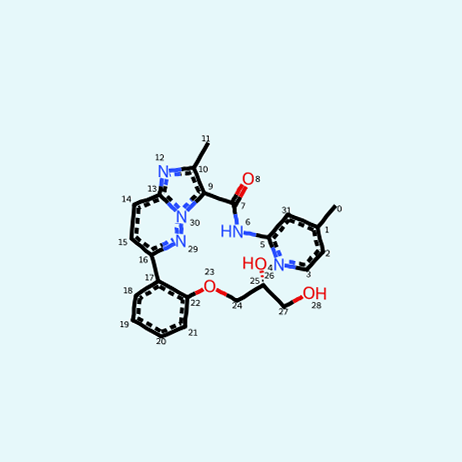 Cc1ccnc(NC(=O)c2c(C)nc3ccc(-c4ccccc4OC[C@H](O)CO)nn23)c1